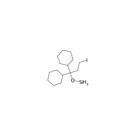 [SiH3]OC(CCI)(C1CCCCC1)C1CCCCC1